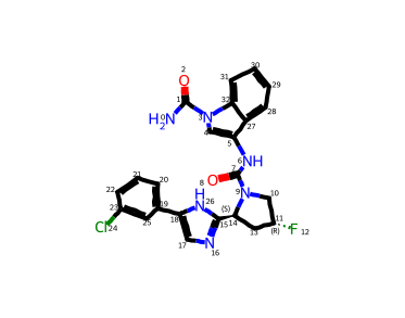 NC(=O)n1cc(NC(=O)N2C[C@H](F)C[C@H]2c2ncc(-c3cccc(Cl)c3)[nH]2)c2ccccc21